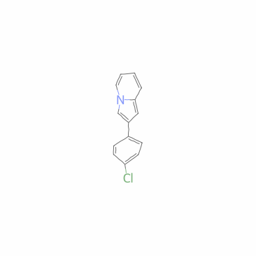 Clc1ccc(-c2cc3ccccn3c2)cc1